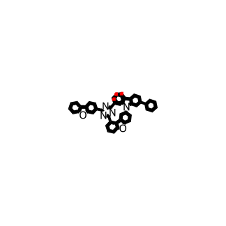 c1ccc(-c2ccc3c4ccccc4n(-c4ccc5oc6cccc(-c7nc(-c8ccccc8)nc(-c8ccc9c(c8)oc8ccccc89)n7)c6c5c4)c3c2)cc1